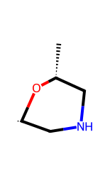 C[C@@H]1CNC[CH]O1